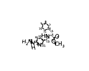 COC(=O)[C@@H](Cc1ccccc1)NCc1ccc(NN)nc1